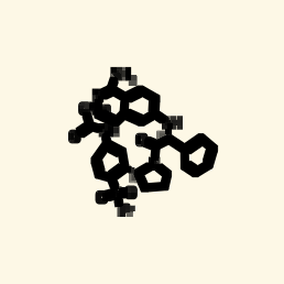 COC(=O)Nc1ccc(S(=O)(=O)C(C)C)c([C@H]2CCCN2C(=O)[C@H](Nc2ccc3c(N)nccc3c2)c2ccccc2)c1